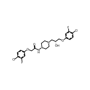 O=C(COc1ccc(Cl)c(F)c1)NN1CCN(C[C@@H](O)COc2ccc(Cl)c(F)c2)CC1